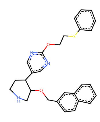 c1ccc(SCCOc2ncc(C3CCNCC3OCc3ccc4ccccc4c3)cn2)cc1